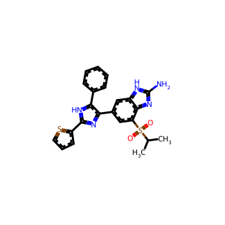 CC(C)S(=O)(=O)c1cc(-c2nc(-c3cccs3)[nH]c2-c2ccccc2)cc2[nH]c(N)nc12